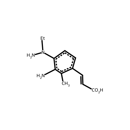 CCN(N)c1ccc(/C=C/C(=O)O)c(C)c1N